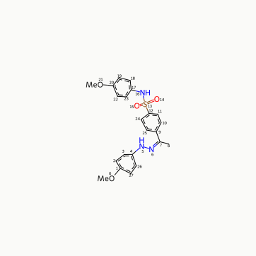 COc1ccc(N/N=C(/C)c2ccc(S(=O)(=O)Nc3ccc(OC)cc3)cc2)cc1